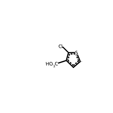 O=C(O)c1c[c]sc1Cl